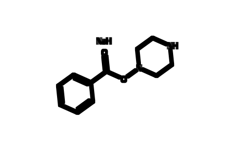 O=C(ON1CCNCC1)c1ccccc1.[NaH]